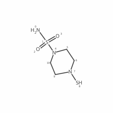 NS(=O)(=O)N1CCN(S)CC1